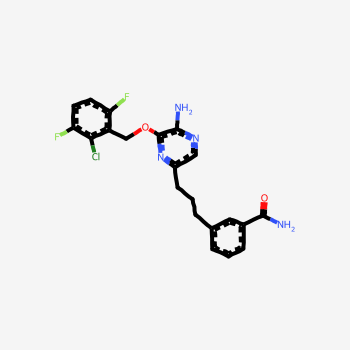 NC(=O)c1cccc(CCCc2cnc(N)c(OCc3c(F)ccc(F)c3Cl)n2)c1